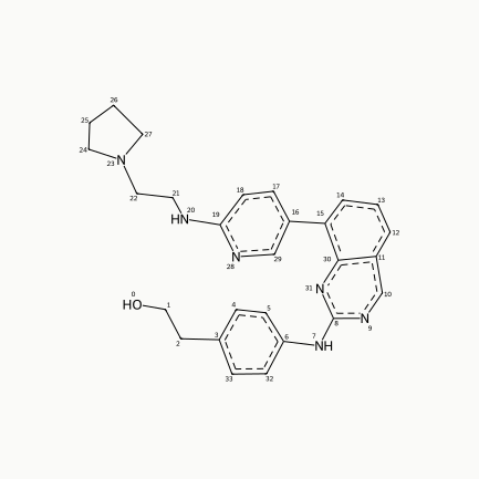 OCCc1ccc(Nc2ncc3cccc(-c4ccc(NCCN5CCCC5)nc4)c3n2)cc1